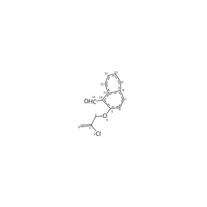 C=C(Cl)COc1ccc2ccccc2c1C=O